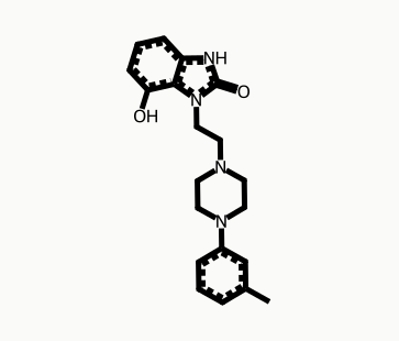 Cc1cccc(N2CCN(CCn3c(=O)[nH]c4cccc(O)c43)CC2)c1